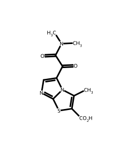 Cc1c(C(=O)O)sc2ncc(C(=O)C(=O)N(C)C)n12